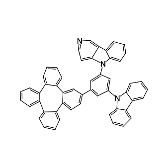 c1ccc2c(c1)-c1ccccc1-c1ccc(-c3cc(-n4c5ccccc5c5ccccc54)cc(-n4c5ccccc5c5cnccc54)c3)cc1-c1ccccc1-2